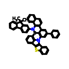 CC1(C)c2ccccc2-c2ccc(N3B4c5c(cc(-c6ccccc6)cc5-n5c6c4cccc6c4sc6ccccc6c45)-c4ccc5ccccc5c43)cc21